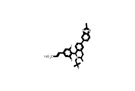 Cc1nc2ccc(-c3ccc4c(c3)CC(C)N(CC(C)(C)F)C4c3c(F)cc(/C=C/C(=O)O)cc3F)cc2s1